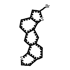 Brc1cc2ccc3cc4c(ccc5ccsc54)cc3c2s1